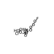 COc1cc(/C=c2\sc3nc(-c4cccc(OCCOCCOCCF)c4)cn3c2=O)cc(Cl)c1O